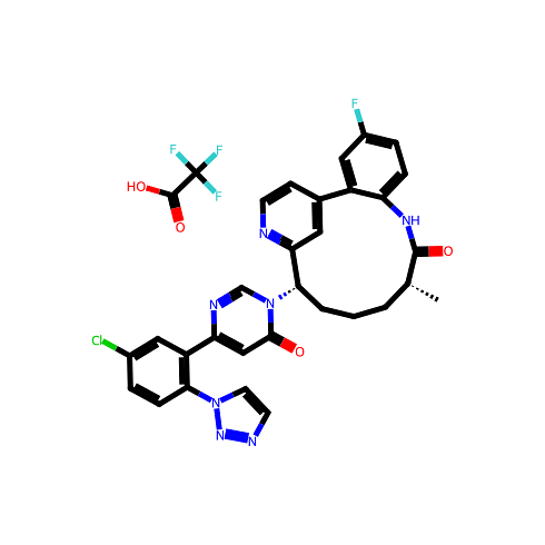 C[C@@H]1CCC[C@H](n2cnc(-c3cc(Cl)ccc3-n3ccnn3)cc2=O)c2cc(ccn2)-c2cc(F)ccc2NC1=O.O=C(O)C(F)(F)F